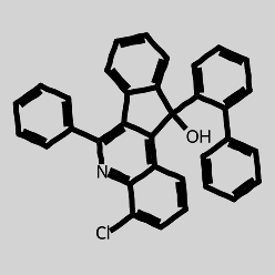 OC1(c2ccccc2-c2ccccc2)c2ccccc2-c2c(-c3ccccc3)nc3c(Cl)cccc3c21